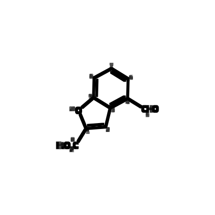 CCOC(=O)c1cc2c(C=O)cccc2o1